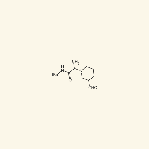 CC(C(=O)NC(C)(C)C)N1CCCC(C=O)C1